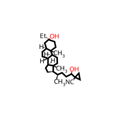 CC[C@]1(O)CC[C@@]2(C)[C@@H](CC[C@@H]3[C@@H]2CC[C@]2(C)[C@@H]([C@H](C)CC[C@@H](O)C4(C#N)CC4)CC[C@@H]32)C1